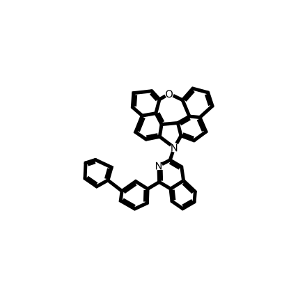 c1ccc(-c2cccc(-c3nc(-n4c5ccc6cccc7oc8cccc9ccc4c(c98)c5c67)cc4ccccc34)c2)cc1